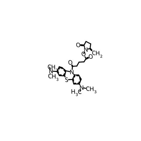 C=C1CCC(=O)N1OC(=O)CCCC(=O)N1c2ccc(N(C)C)cc2Sc2cc(N(C)C)ccc21